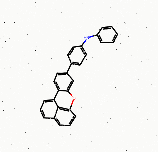 c1ccc(Nc2ccc(-c3ccc4c(c3)Oc3cccc5cccc-4c35)cc2)cc1